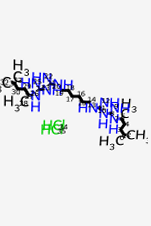 CC(C)CCC(C)NC(=N)NC(=N)NCCCCCCNC(=N)NC(=N)NC(C)CCC(C)C.Cl.Cl